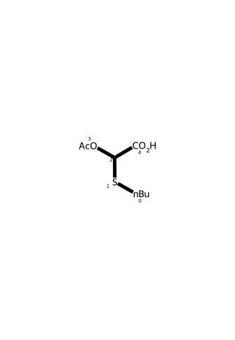 CCCCSC(OC(C)=O)C(=O)O